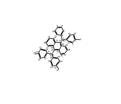 Cc1ccc(N(c2ccccc2)c2c3ccccc3c(N(c3ccc(C)cc3)c3ccc(C)cc3)c3ccccc23)cc1